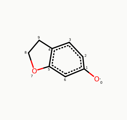 [O]c1ccc2c(c1)OCC2